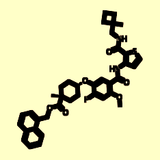 COc1cc(F)c(O[C@H]2CC[C@@](C)(C(=O)OCc3cccc4ccccc34)CC2)cc1C(=O)Nc1ccsc1C(=O)NCC1(C)CCC1